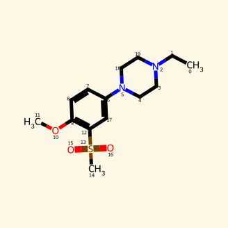 CCN1CCN(c2ccc(OC)c(S(C)(=O)=O)c2)CC1